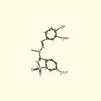 COc1cc(C=NN(C)C2=NS(=O)(=O)c3cc(C(=O)O)ccc32)ccc1O